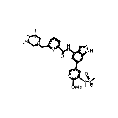 COc1ncc(-c2cc(NC(=O)c3cccc(CN4C[C@@H](C)O[C@@H](C)C4)n3)c3cn[nH]c3c2)cc1NS(C)(=O)=O